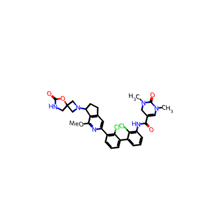 COc1nc(-c2cccc(-c3cccc(NC(=O)C4=CN(C)C(=O)N(C)C4)c3Cl)c2Cl)cc2c1C(N1CC3(CNC(=O)O3)C1)CC2